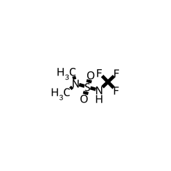 CN(C)S(=O)(=O)NC(F)(F)F